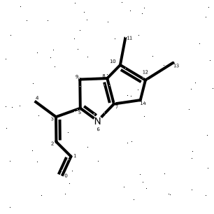 C=C/C=C(/C)C1=NC2=C(C1)C(C)=C(C)C2